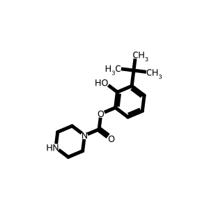 CC(C)(C)c1cccc(OC(=O)N2CCNCC2)c1O